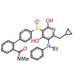 CCN(c1ccccc1)c1c(CC2CC2)nc(O)c([S+]([O-])c2ccc(-c3ccccc3C(=O)NC)cc2)c1O